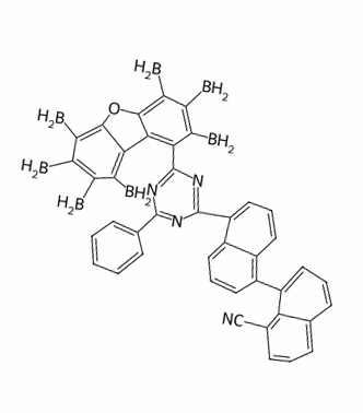 Bc1c(B)c(B)c2c(oc3c(B)c(B)c(B)c(-c4nc(-c5ccccc5)nc(-c5cccc6c(-c7cccc8cccc(C#N)c78)cccc56)n4)c32)c1B